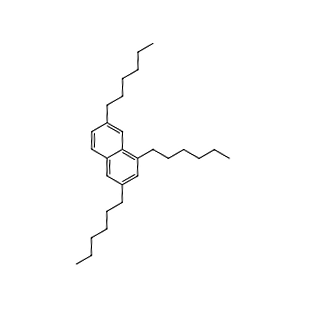 CCCCCCc1cc(CCCCCC)c2cc(CCCCCC)ccc2c1